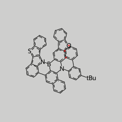 CC(C)(C)c1ccc(N2c3cc4oc5ccccc5c4cc3B3c4c(cc5ccccc5c42)-c2cccc4c5sc6ccccc6c5n3c24)c(-c2ccccc2)c1